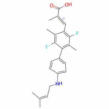 CC(C)=CCNc1ccc(-c2c(C)c(F)c(/C=C(\C)C(=O)O)c(C)c2F)cc1